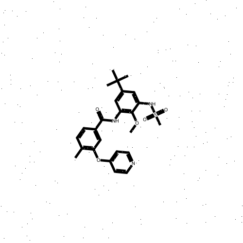 COc1c(NC(=O)c2ccc(C)c(Oc3ccncc3)c2)cc(C(C)(C)C)cc1NS(C)(=O)=O